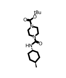 CC(C)(C)OC(=O)N1CCN(C(=O)N[C@H]2CC[C@H](C)CC2)CC1